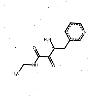 CCNC(=O)C(=O)C(N)Cc1cccnc1